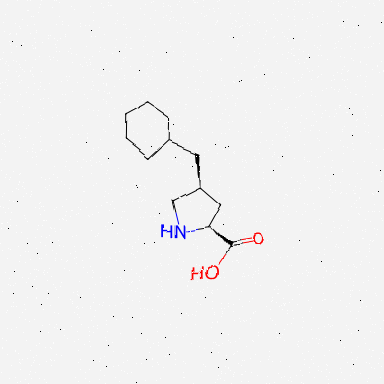 O=C(O)[C@@H]1C[C@H](CC2CCCCC2)CN1